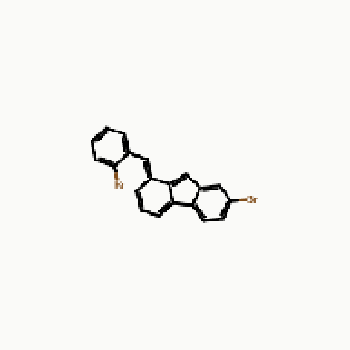 Brc1ccc2c(c1)C=c1c-2cccc1=Cc1ccccc1Br